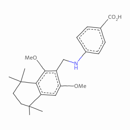 COc1cc2c(c(OC)c1CNc1ccc(C(=O)O)cc1)C(C)(C)CCC2(C)C